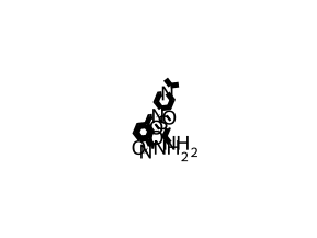 CC(C)N1CCC(N(Cc2ccc3onc(N)c3c2)S(=O)(=O)CC(N)=O)CC1